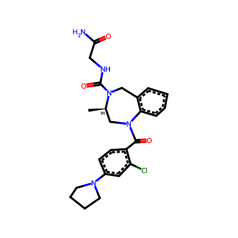 C[C@@H]1CN(C(=O)c2ccc(N3CCCC3)cc2Cl)c2ccccc2CN1C(=O)NCC(N)=O